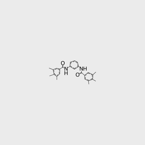 Cc1cc(C(=O)Nc2cccc(NC(=O)c3cc(C)c(C)c(C)c3)c2)cc(C)c1C